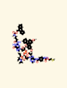 CCCOP(OC[C@H]1O[C@@H](n2cnc3c(NC(=O)c4ccc(NC(=O)OCCSC)cc4)ncnc32)CC1OP(OCCC)N(C(C)C)C(C)C)OC1C[C@H](n2cnc3c(=O)[nH]c(NC(=O)CCCN(C)C(=O)OCC4c5ccccc5-c5ccccc54)nc32)O[C@@H]1COC(c1ccccc1)(c1ccc(OC)cc1)c1ccc(OC)cc1